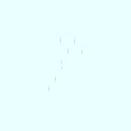 COCCOCCOC1CC(C)CCC1C(C)C